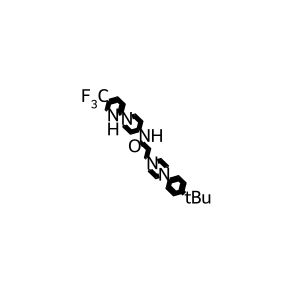 CC(C)(C)c1ccc(N2CCN(CCC(=O)NC3CCN(C4=CC=C(C(F)(F)F)CN4)CC3)CC2)cc1